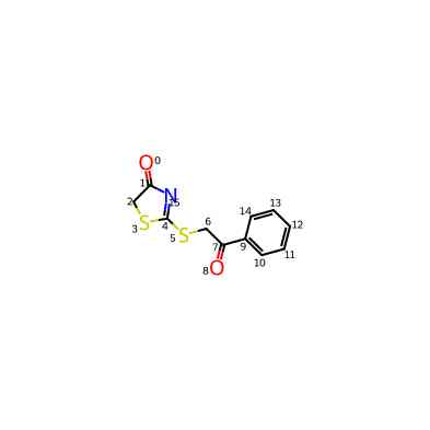 O=C1CSC(SCC(=O)c2ccccc2)=N1